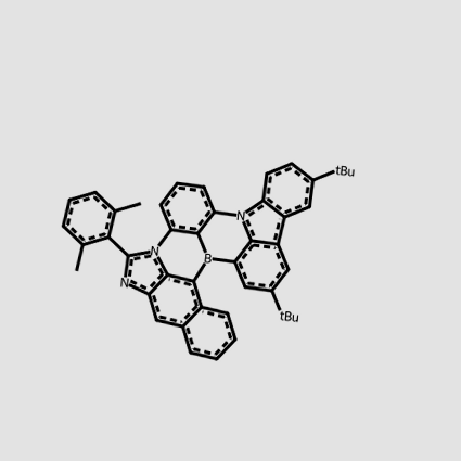 Cc1cccc(C)c1-c1nc2cc3ccccc3c3c2n1-c1cccc2c1B3c1cc(C(C)(C)C)cc3c4cc(C(C)(C)C)ccc4n-2c13